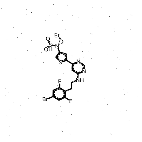 CCON(c1csc(-c2cc(NCCc3c(F)cc(Br)cc3F)ncn2)c1)[SH](=O)=O